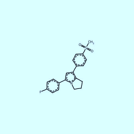 CS(=O)(=O)c1ccc(-c2cc(-c3ccc(F)cc3)n3c2CCC3)cc1